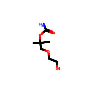 CC(C)(COCCO)OC(N)=O